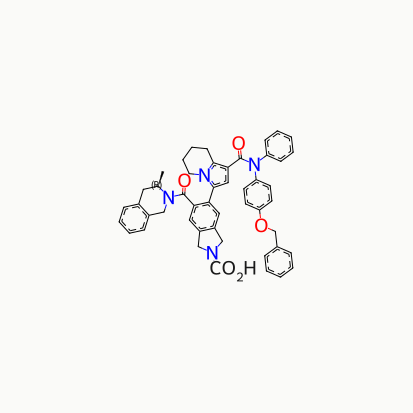 C[C@@H]1Cc2ccccc2CN1C(=O)c1cc2c(cc1-c1cc(C(=O)N(c3ccccc3)c3ccc(OCc4ccccc4)cc3)c3n1CCCC3)CN(C(=O)O)C2